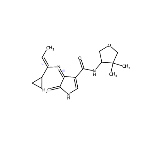 C=C1NC=C(C(=O)NC2COCC2(C)C)/C1=N/C(=C\C)C1CC1